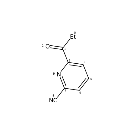 CCC(=O)c1cccc(C#N)n1